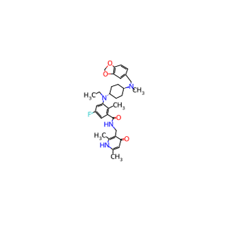 CCN(c1cc(F)cc(C(=O)NCc2c(C)[nH]c(C)cc2=O)c1C)[C@H]1CC[C@H](N(C)Cc2ccc3c(c2)OCO3)CC1